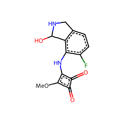 COc1c(Nc2c(F)ccc3c2C(O)NC3)c(=O)c1=O